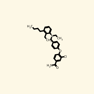 CCCCc1cccc(N(CC)Cc2ccc(Oc3ccc(C(N)=O)cc3Cl)cc2)c1CC